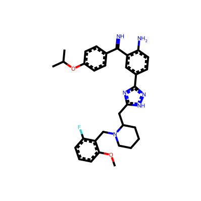 COc1cccc(F)c1CN1CCCCC1Cc1nc(-c2ccc(N)c(C(=N)c3ccc(OC(C)C)cc3)c2)n[nH]1